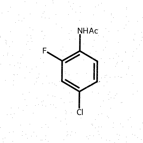 CC(=O)Nc1c[c]c(Cl)cc1F